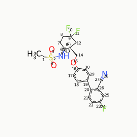 CCS(=O)(=O)N[C@H]1CCC(F)(F)C[C@H]1COc1ccc(-c2ccc(F)cc2C#N)cc1